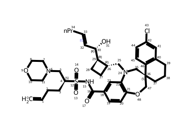 C=CCC[C@@H](CN1CCOCC1)S(=O)(=O)NC(=O)c1ccc2c(c1)N(C[C@@H]1CC[C@H]1[C@@H](O)/C=C/CCC)C[C@@]1(CCCc3cc(Cl)ccc31)CO2